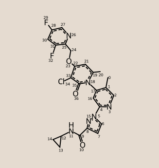 Cc1cnc(-n2ccc(C(=O)NC3CC3)n2)cc1-n1c(C)cc(OCc2ncc(F)cc2F)c(Cl)c1=O